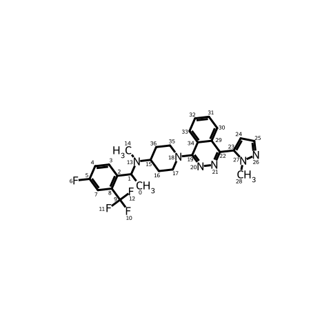 CC(c1ccc(F)cc1C(F)(F)F)N(C)C1CCN(c2nnc(-c3ccnn3C)c3ccccc23)CC1